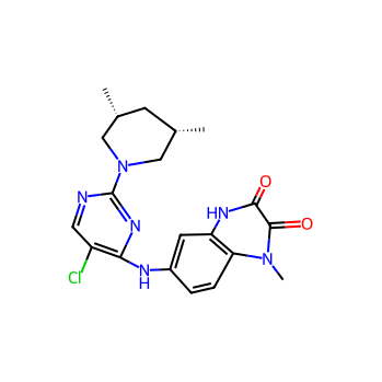 C[C@@H]1C[C@H](C)CN(c2ncc(Cl)c(Nc3ccc4c(c3)[nH]c(=O)c(=O)n4C)n2)C1